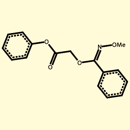 CON=C(OCC(=O)Oc1ccccc1)c1ccccc1